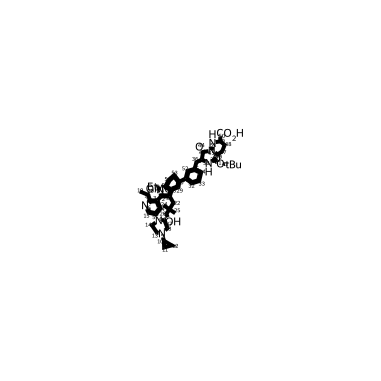 CCn1c(-c2cc(N3CCN(C4CC4)CC3)cnc2[C@H](C)OC)c(CC(C)(C)CO)c2cc(-c3cccc(CC(NC(=O)OC(C)(C)C)C(=O)N4CCCC(C(=O)O)N4)c3)ccc21